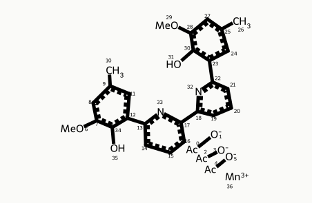 CC(=O)[O-].CC(=O)[O-].CC(=O)[O-].COc1cc(C)cc(-c2cccc(-c3cccc(-c4cc(C)cc(OC)c4O)n3)n2)c1O.[Mn+3]